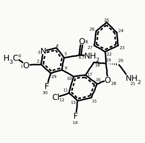 COc1ncc(C(N)=O)c(-c2c(Cl)c(F)cc3c2C[C@@](CN)(c2ccccc2)O3)c1F